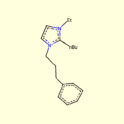 CCCCc1n(CC)cc[n+]1CCCc1ccccc1